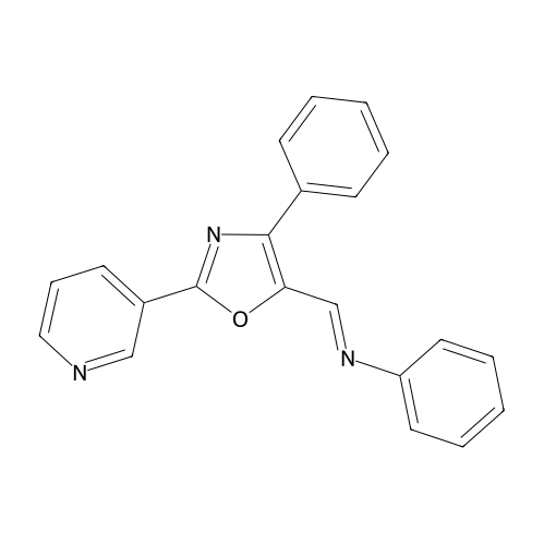 C(=N\c1ccccc1)/c1oc(-c2cccnc2)nc1-c1ccccc1